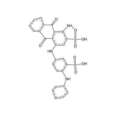 Nc1c(S(=O)(=O)O)cc(Nc2ccc(Nc3ccccc3)c(S(=O)(=O)O)c2)c2c1C(=O)c1ccccc1C2=O